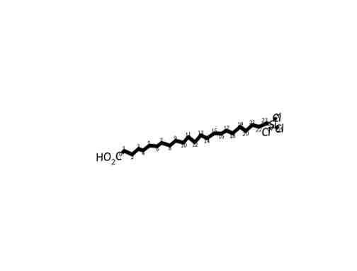 O=C(O)CCCCCCCCCCCCCCCCCCCCCCC[Si](Cl)(Cl)Cl